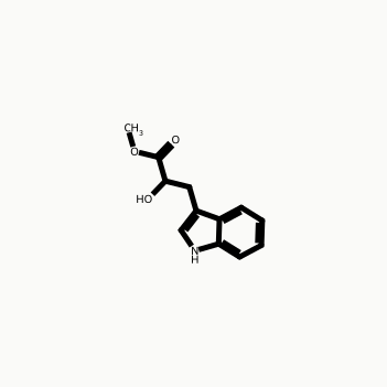 COC(=O)C(O)Cc1c[nH]c2ccccc12